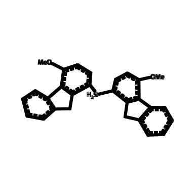 COc1ccc([SiH2]c2ccc(OC)c3c2Cc2ccccc2-3)c2c1-c1ccccc1C2